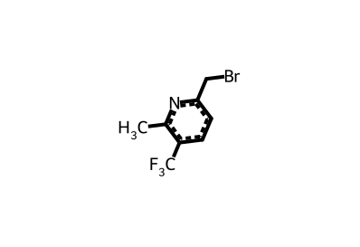 Cc1nc(CBr)ccc1C(F)(F)F